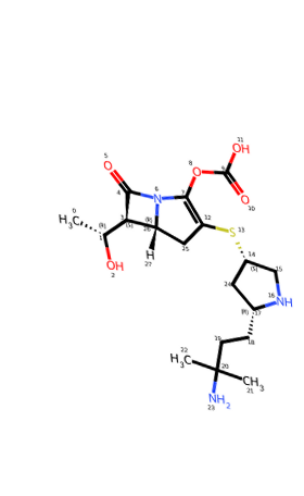 C[C@@H](O)[C@H]1C(=O)N2C(OC(=O)O)=C(S[C@@H]3CN[C@H](CCC(C)(C)N)C3)C[C@H]12